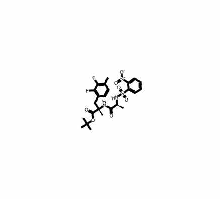 Cc1ccc(C[C@](C)(NC(=O)[C@H](C)NS(=O)(=O)c2ccccc2[N+](=O)[O-])C(=O)OC(C)(C)C)c(F)c1F